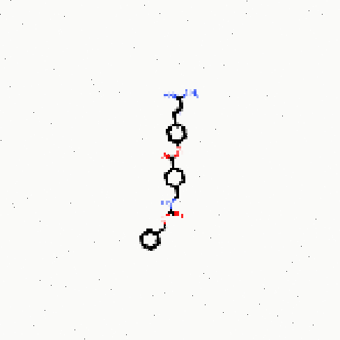 N=C(N)/C=C/c1ccc(OC(=O)C2CCC(CNC(=O)OCc3ccccc3)CC2)cc1